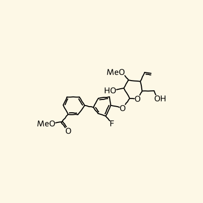 C=CC1C(CO)OC(Oc2ccc(-c3cccc(C(=O)OC)c3)cc2F)C(O)C1OC